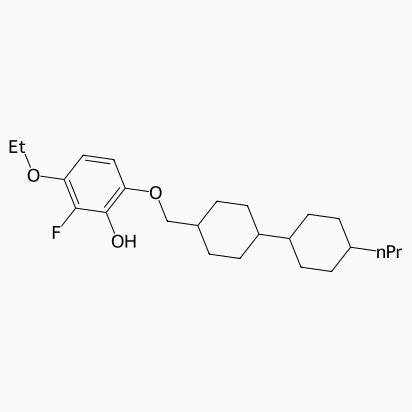 CCCC1CCC(C2CCC(COc3ccc(OCC)c(F)c3O)CC2)CC1